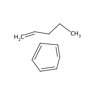 C=CCCC.c1ccccc1